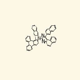 c1ccc2cc(-c3nc(-n4c5cc6ccccc6cc5c5c6c7ccccc7c7ccccc7c6ccc54)nc4ccc5ccccc5c34)ccc2c1